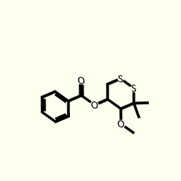 COC1C(OC(=O)c2ccccc2)CSSC1(C)C